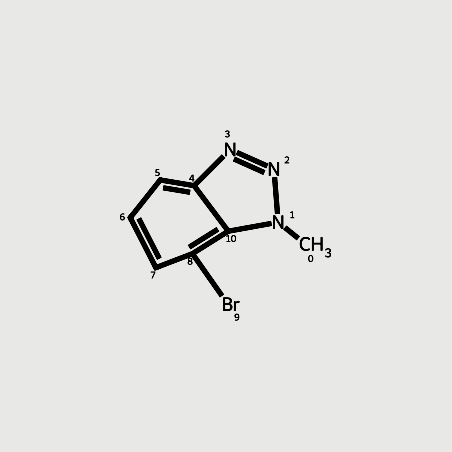 Cn1nnc2cccc(Br)c21